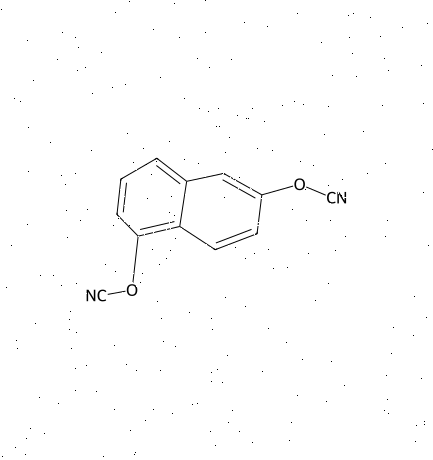 N#COc1ccc2c(OC#N)cccc2c1